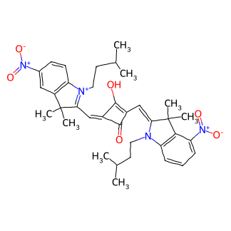 CC(C)CCN1/C(=C\C2=C(O)C(=C\C3=[N+](CCC(C)C)c4ccc([N+](=O)[O-])cc4C3(C)C)/C2=O)C(C)(C)c2c1cccc2[N+](=O)[O-]